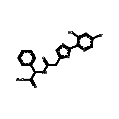 COC(=O)C(NC(=O)Cc1csc(-c2ncc(Br)cc2O)n1)c1ccccc1